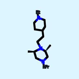 CCCN1C[C@@H](C)N(CCC2CCN(CC)CC2)[C@H](C)C1